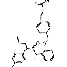 CCCC(C(=O)Nc1ccccc1OCc1ccc(CCC(=O)O)cc1)c1ccc(C)cc1